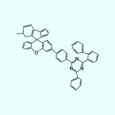 CC1C=CC2=C(C1)C1(c3ccccc3Oc3cc(-c4ccc(-c5nc(-c6ccccc6)nc(-c6ccccc6-c6ccccc6)n5)cc4)ccc31)c1ccccc12